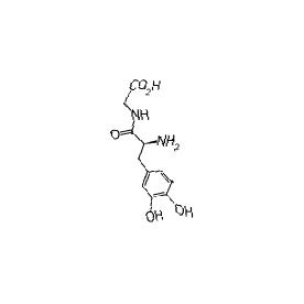 N[C@@H](Cc1ccc(O)c(O)c1)C(=O)NCC(=O)O